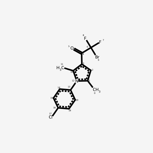 Cc1cc(C(=O)C(F)(F)Br)c(C)n1-c1ccc(Cl)cc1